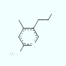 COc1cc(C)c(CCBr)cn1